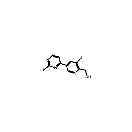 OCc1ncc(-c2ccnc(Cl)n2)cc1F